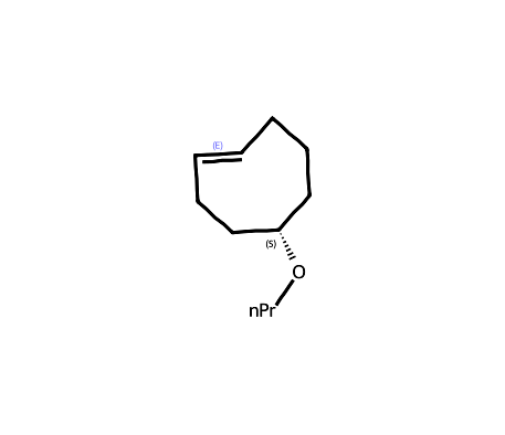 CCCO[C@@H]1CC/C=C/CCC1